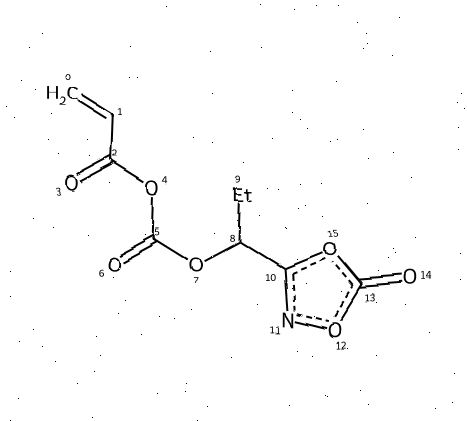 C=CC(=O)OC(=O)OC(CC)c1noc(=O)o1